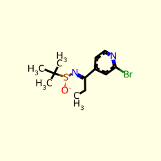 CC/C(=N\[S@+]([O-])C(C)(C)C)c1ccnc(Br)c1